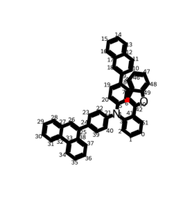 c1ccc(N(c2ccc(-c3ccc4ccccc4c3)cc2)c2ccc(-c3cc4ccccc4c4ccccc34)cc2)c(-c2cc3ccccc3o2)c1